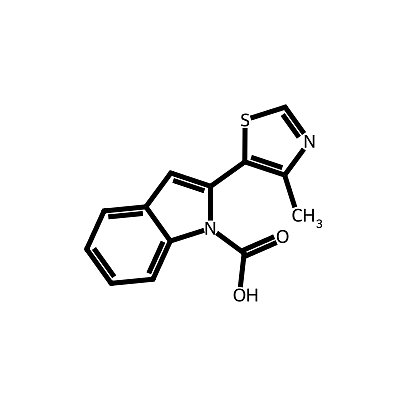 Cc1ncsc1-c1cc2ccccc2n1C(=O)O